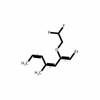 C\C=C/C(C)=C\C(=C\CC)OCC(F)F